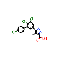 Cc1c(C(=O)O)n[nH]c1-c1cc(Cl)c(Cl)c(-c2ccc(Cl)cc2)c1